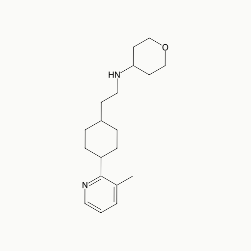 Cc1cccnc1C1CCC(CCNC2CCOCC2)CC1